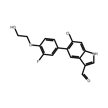 O=Cc1c[nH]c2cc(Cl)c(-c3ccc(OCCO)c(F)c3)cc12